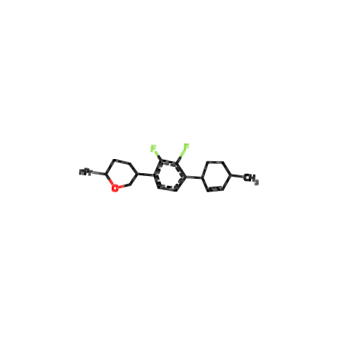 CCCC1CCC(c2ccc(C3C=CC(C)CC3)c(F)c2F)CO1